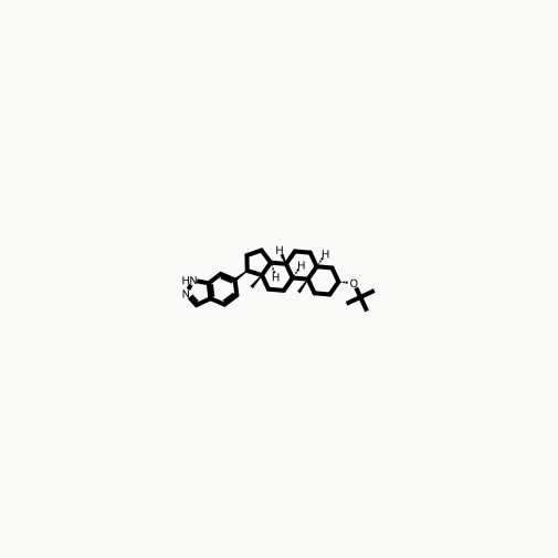 CC(C)(C)O[C@@H]1CC[C@@]2(C)[C@@H](CC[C@@H]3[C@@H]2CC[C@]2(C)[C@@H](c4ccc5cn[nH]c5c4)CC[C@@H]32)C1